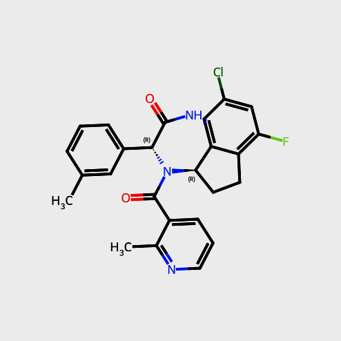 Cc1cccc([C@H](C(N)=O)N(C(=O)c2cccnc2C)[C@@H]2CCc3c(F)cc(Cl)cc32)c1